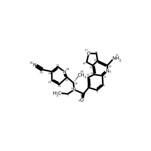 CCN(C(=O)c1ccc2nc(N)c3c(c2c1)COC3)[C@@H](C)c1ccc(C#N)cn1